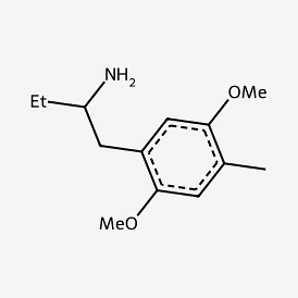 CCC(N)Cc1cc(OC)c(C)cc1OC